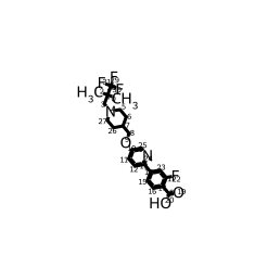 CC(C)(CN1CCC(COc2ccc(-c3ccc(C(=O)O)c(F)c3)nc2)CC1)C(F)(F)F